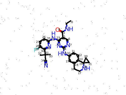 CCNC(=O)c1cnc(Nc2ccc3c(c2)CCNC32CC2)nc1Nc1ccc(F)c(C(C)(C)C#N)n1